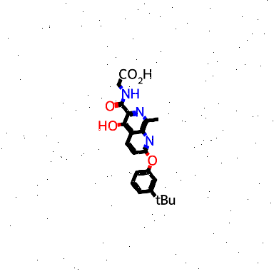 Cc1nc(C(=O)NCC(=O)O)c(O)c2ccc(Oc3cccc(C(C)(C)C)c3)nc12